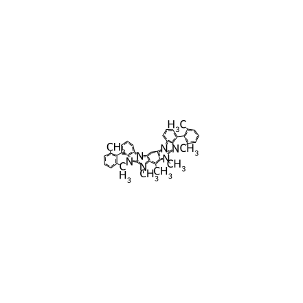 Cc1cccc(C)c1-c1cccc2c1nc1n(C)c3c(C)c4c(cc3n21)n1c2cccc(-c3c(C)cccc3C)c2nc1n4C